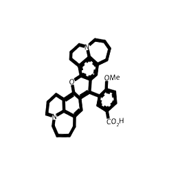 COc1ccc(C(=O)O)cc1C1=C2C=C3CCCCN4CCCC(=C2Oc2c1cc1c5c2CCCN5CCCC1)C34